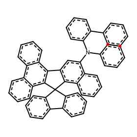 c1ccc(-c2ccccc2N(c2ccccc2)c2cc3c(c4ccccc24)C2(c4ccccc4-c4ccccc42)c2c-3c3ccccc3c3ccccc23)cc1